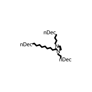 CCCCCCCCCCCCCCCCCCC1N(CCCCCCCCCCCC)C=CN1CCCCCCCCCCCCCC